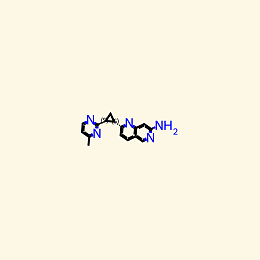 Cc1ccnc([C@H]2C[C@@H]2c2ccc3cnc(N)cc3n2)n1